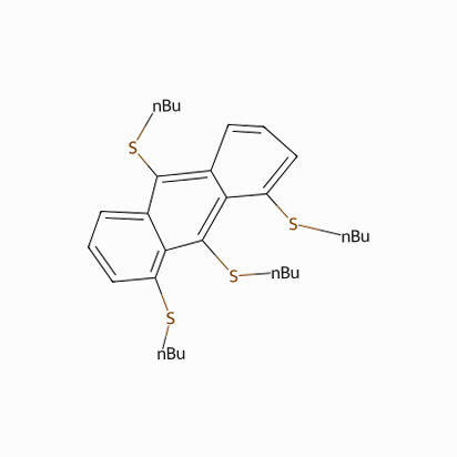 CCCCSc1c2cccc(SCCCC)c2c(SCCCC)c2c(SCCCC)cccc12